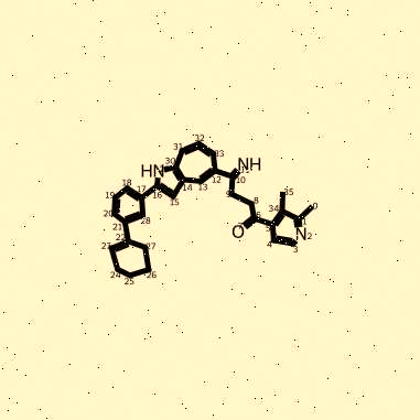 Cc1nccc(C(=O)CCC(=N)C2=Cc3cc(-c4cccc(C5=CCCCC5)c4)[nH]c3C=C=C2)c1C